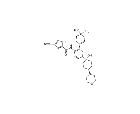 CC1(C)CC=C(C2=C(NC(=O)c3nc(C#N)c[nH]3)C=CC([C@]3(O)CC[C@H](N4CCOCC4)CC3)C2)CC1